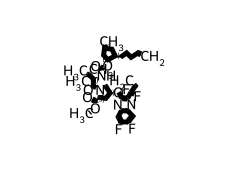 C=CCCC[C@@H]1C[C@@H](C)C[C@H]1OC(=O)N[C@H](C(=O)N1C[C@H](Oc2nc3cc(F)c(F)cc3nc2C(F)(F)C=C)C[C@H]1C(=O)OC)C(C)(C)C